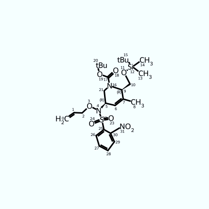 C=CCON([C@@H]1C=C(C)[C@H](CO[Si](C)(C)C(C)(C)C)N(C(=O)OC(C)(C)C)C1)S(=O)(=O)c1ccccc1[N+](=O)[O-]